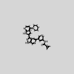 O=C(Nc1cncc(-c2cc3c(-c4cc5c(N6CCCCC6)ccnc5[nH]4)n[nH]c3cn2)c1)C1CC1